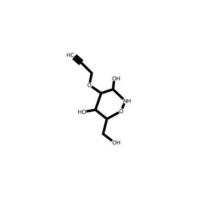 C#CCOC1C(O)NOC(CO)C1O